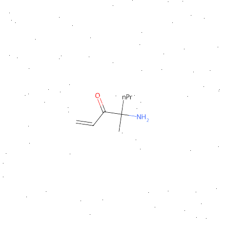 [CH2]CCC(C)(N)C(=O)C=C